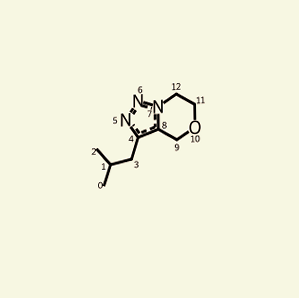 CC(C)Cc1nnn2c1COCC2